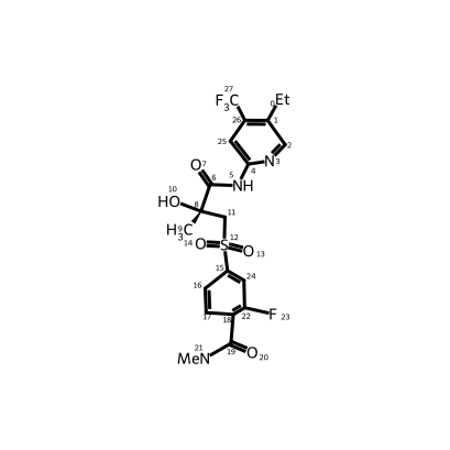 CCc1cnc(NC(=O)[C@@](C)(O)CS(=O)(=O)c2ccc(C(=O)NC)c(F)c2)cc1C(F)(F)F